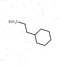 [CH2]COC(=O)CCC1CCCCC1